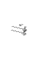 CCCCCCCCO[PH](=O)[O-].CCCCCCCCO[PH](=O)[O-].[Ni+2]